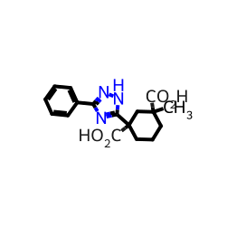 CC1(C(=O)O)CCCC(C(=O)O)(c2nc(-c3ccccc3)n[nH]2)C1